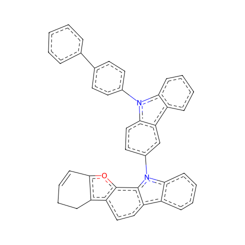 C1=Cc2oc3c(ccc4c5ccccc5n(-c5ccc6c(c5)c5ccccc5n6-c5ccc(-c6ccccc6)cc5)c43)c2CC1